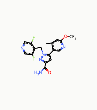 Cc1cc(OC(F)(F)F)ncc1-c1cc(C(N)=O)nn1Cc1c(F)cncc1F